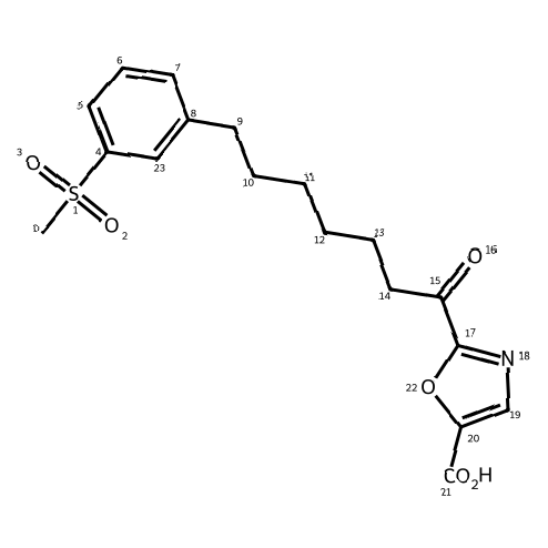 CS(=O)(=O)c1cccc(CCCCCCC(=O)c2ncc(C(=O)O)o2)c1